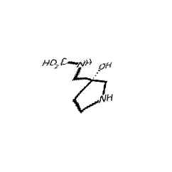 O=C(O)NC[C@]1(O)CCNC1